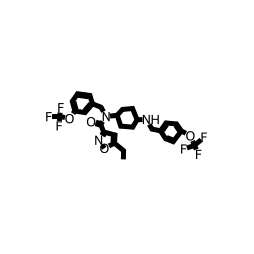 CCc1cc(C(=O)N(Cc2cccc(OC(F)(F)F)c2)C2CCC(NCc3ccc(OC(F)(F)F)cc3)CC2)no1